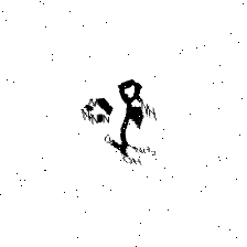 N[C@@H](Cc1c[nH]c2ccccc12)C(=O)O.c1cnnnn1